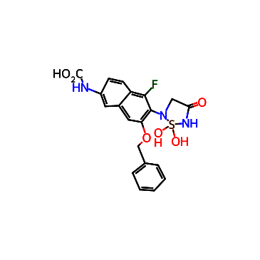 O=C(O)Nc1ccc2c(F)c(N3CC(=O)NS3(O)O)c(OCc3ccccc3)cc2c1